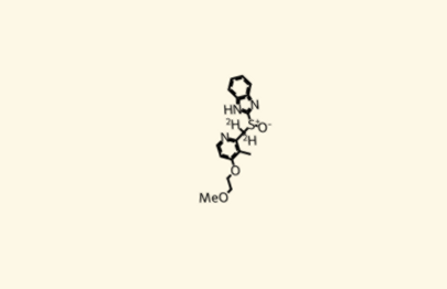 [2H]C([2H])(c1nccc(OCCOC)c1C)[S+]([O-])c1nc2ccccc2[nH]1